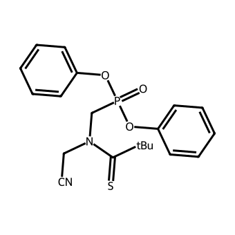 CC(C)(C)C(=S)N(CC#N)CP(=O)(Oc1ccccc1)Oc1ccccc1